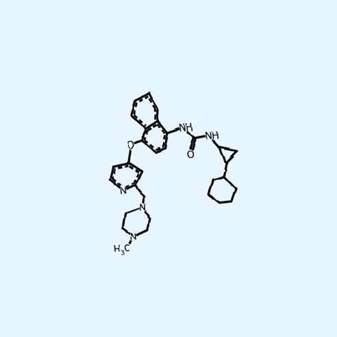 CN1CCN(Cc2cc(Oc3ccc(NC(=O)NC4CC4C4CCCCC4)c4ccccc34)ccn2)CC1